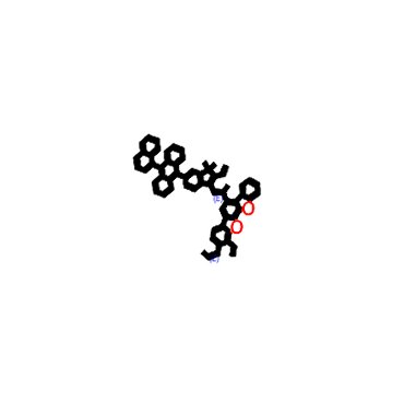 C=CC1=C(/C=C(\C)c2cc3c4ccc(/C=C\C)c(C=C)c4oc3c3oc4ccccc4c23)c2ccc(-c3c4ccccc4c(-c4cccc5ccccc45)c4ccccc34)cc2C1(C)C